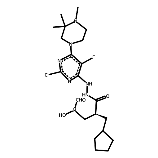 CN1CCN(c2nc(Cl)nc(NNC(=O)[C@@H](CC3CCCC3)CN(O)C=O)c2F)CC1(C)C